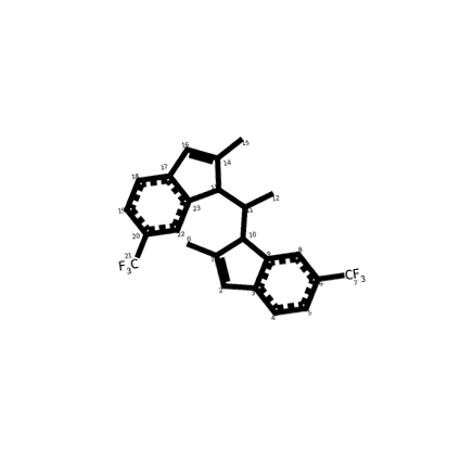 CC1=Cc2ccc(C(F)(F)F)cc2C1C(C)C1C(C)=Cc2ccc(C(F)(F)F)cc21